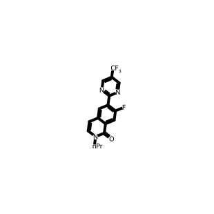 CCCn1ccc2cc(-c3ncc(C(F)(F)F)cn3)c(F)cc2c1=O